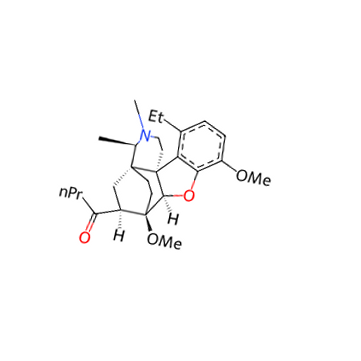 CCCC(=O)[C@H]1C[C@@]23CC[C@]1(OC)[C@@H]1Oc4c(OC)ccc(CC)c4[C@@]12CCN(C)[C@@H]3C